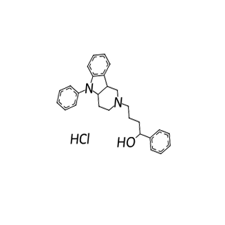 Cl.OC(CCCN1CCC2C(C1)c1ccccc1N2c1ccccc1)c1ccccc1